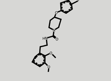 COc1cccc(CCNC(=O)N2CCC(Oc3ccc(F)cc3)CC2)c1OC